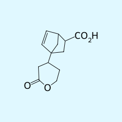 O=C1CC(C23C=CC(C2)C(C(=O)O)C3)CCO1